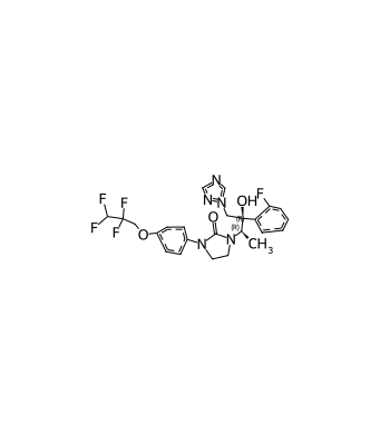 C[C@@H](N1CCN(c2ccc(OCC(F)(F)C(F)F)cc2)C1=O)[C@](O)(Cn1cncn1)c1ccccc1F